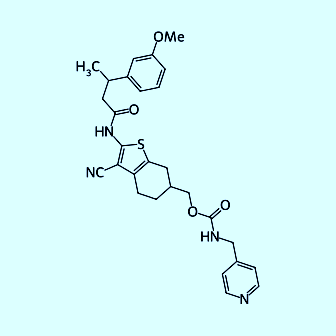 COc1cccc(C(C)CC(=O)Nc2sc3c(c2C#N)CCC(COC(=O)NCc2ccncc2)C3)c1